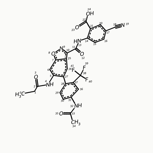 CCC(=O)Nc1cc2onc(C(=O)Nc3ccc(C#N)cc3C(=O)O)c2cc1-c1ccc(NC(C)=O)cc1C(F)(F)F